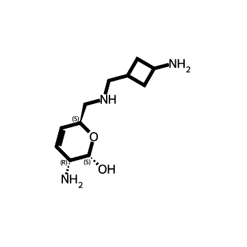 NC1CC(CNC[C@@H]2C=C[C@@H](N)[C@@H](O)O2)C1